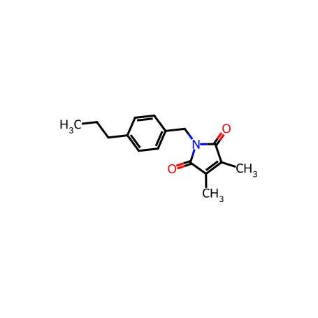 CCCc1ccc(CN2C(=O)C(C)=C(C)C2=O)cc1